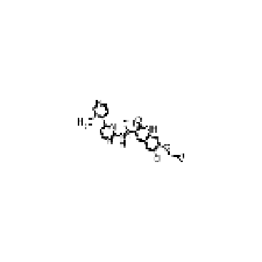 Cc1cnccc1-c1ccnc(N[C@@H](C)c2cc3cc(Cl)c(OCC4CC4)cc3[nH]c2=O)n1